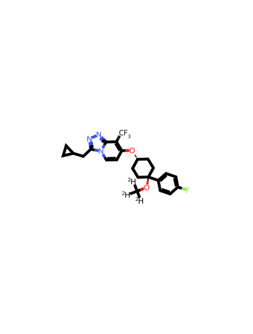 [2H]C([2H])([2H])O[C@]1(c2ccc(F)cc2)CC[C@@H](Oc2ccn3c(CC4CC4)nnc3c2C(F)(F)F)CC1